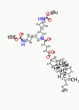 CC(C)CCCC(C)[C@H]1CC[C@H]2[C@@H]3CC=C4C[C@@H](OC(=O)CCCC(=O)N(CCC5CC(NC(=O)OC(C)(C)C)C5)CCC5CC(NC(=O)OC(C)(C)C)C5)CC[C@]4(C)[C@H]3CC[C@]12C